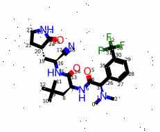 CN(C)[C@@H](C(=O)N[C@@H](CC(C)(C)C)C(=O)N[C@H](C#N)C[C@@H]1CCNC1=O)c1cccc(C(F)(F)F)c1